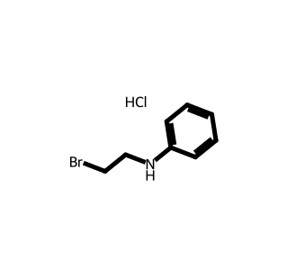 BrCCNc1ccccc1.Cl